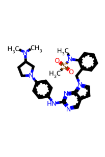 CN(C)C1CCN(c2ccc(Nc3ncc4ccn(Cc5ccccc5N(C)S(C)(=O)=O)c4n3)cc2)C1